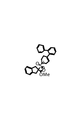 COC(=O)C1(S(=O)(=O)N2CC=C(c3ccccc3-c3ccccc3)CC2)Cc2ccccc2C1